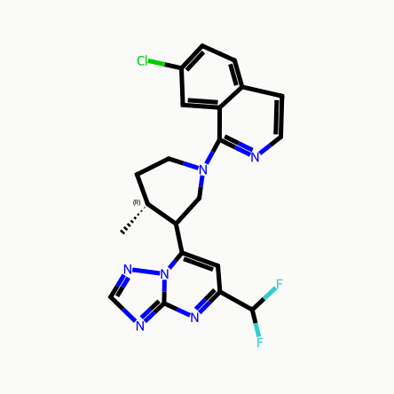 C[C@@H]1CCN(c2nccc3ccc(Cl)cc23)CC1c1cc(C(F)F)nc2ncnn12